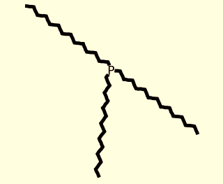 CCCCCCCCCCCCCCP(CCCCCCCCCCCCCC)CCCCCCCCCCCCCC